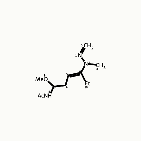 C=NN(C)/C(=C/CC(NC(C)=O)OC)CC